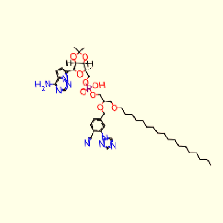 CCCCCCCCCCCCCCCCCCOC[C@H](COP(=O)(O)OC[C@@]1(C)O[C@@H](c2ccc3c(N)ncnn23)[C@@H]2OC(C)(C)O[C@@H]21)OCc1ccc(C#N)c(-n2cncn2)c1